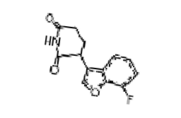 O=C1CCC(c2coc3c(F)cccc23)C(=O)N1